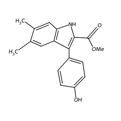 COC(=O)c1[nH]c2cc(C)c(C)cc2c1-c1ccc(O)cc1